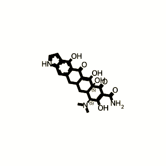 CN(C)[C@@H]1C(O)=C(C(N)=O)C(=O)[C@@]2(O)C(O)=C3C(=O)c4c(cc5[nH]ccc5c4O)CC3CC12